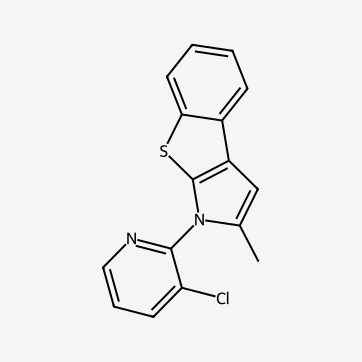 Cc1cc2c3ccccc3sc2n1-c1ncccc1Cl